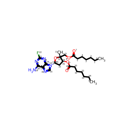 CCCCCCC(=O)OC[C@@]1(C)O[C@@H](n2cnc3c(N)nc(F)nc32)C[C@@H]1OC(=O)CCCCCC